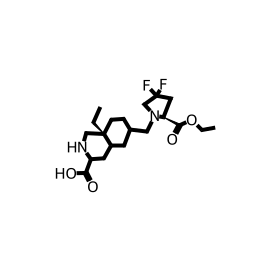 CCOC(=O)[C@@H]1CC(F)(F)CN1CC1CC[C@@]2(CC)CNC(C(=O)O)CC2C1